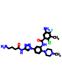 Cc1c(F)c(N)cc(C(=O)Nc2cc(-n3cc(NC(=O)CCCN)nn3)ccc2N2CCN(C)CC2)c1Cl